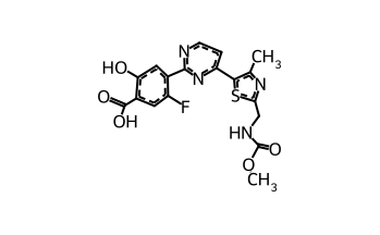 COC(=O)NCc1nc(C)c(-c2ccnc(-c3cc(O)c(C(=O)O)cc3F)n2)s1